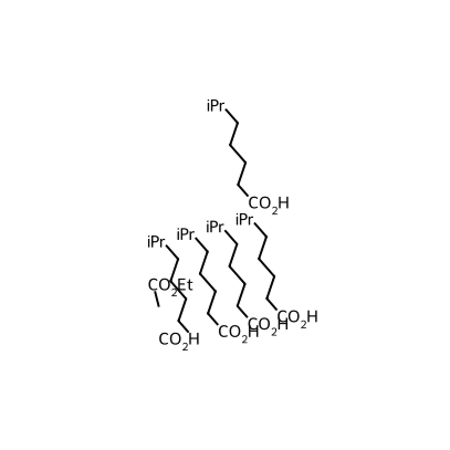 CC(C)CCCCC(=O)O.CC(C)CCCCC(=O)O.CC(C)CCCCC(=O)O.CC(C)CCCCC(=O)O.CC(C)CCCCC(=O)O.CCOC(C)=O